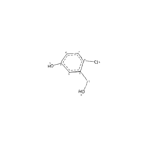 OCc1cc(O)ccc1Cl